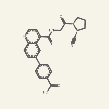 N#C[C@@H]1CCCN1C(=O)CNC(=O)c1ccnc2ccc(-c3ccc(C(=O)O)cc3)cc12